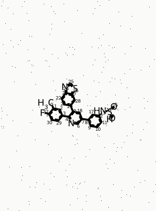 Cc1cc(-c2ncc(-c3cccc(N[SH](=O)=O)c3)cc2-c2ccc3ncsc3c2)ccc1F